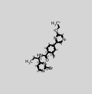 CCOc1cncc(-c2ccc(C(=O)NC(CC)c3ccnc(Br)n3)c(F)c2)n1